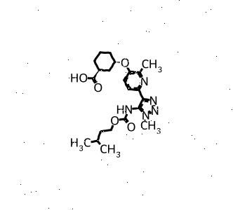 Cc1nc(-c2nnn(C)c2NC(=O)OCCC(C)C)ccc1O[C@H]1CCC[C@H](C(=O)O)C1